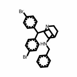 Brc1ccc(C(c2ccc(Br)cc2)C2C(NCc3ccccc3)C3CCN2CC3)cc1